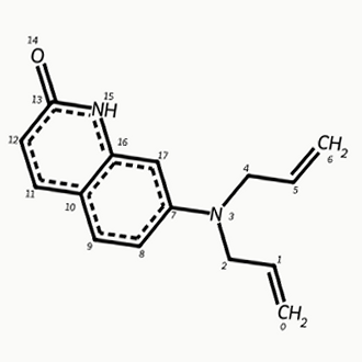 C=CCN(CC=C)c1ccc2ccc(=O)[nH]c2c1